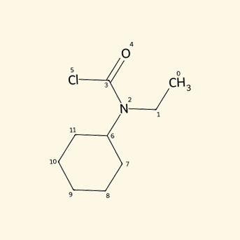 CCN(C(=O)Cl)C1CCCCC1